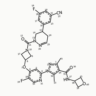 Cc1nn(-c2cc(OC3CN(C(=O)N4CC(c5cc(F)cc(C#N)c5)CC=N4)C3)c(F)cn2)c(C)c1C(=O)NC1COC1